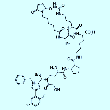 CC(C)[C@H](NC(=O)CCCCCN1C(=O)C=CC1=O)C(=O)N[C@@H](CCCNC(N)=O)C(=O)N[C@@H](CCCCNC(=O)[C@@H]1CCC[C@@H]1NC(=O)[C@@H](N)CCN(C(=O)CO)[C@@H](c1cc(-c2cc(F)ccc2F)cn1Cc1ccccc1)C(C)(C)C)C(=O)O